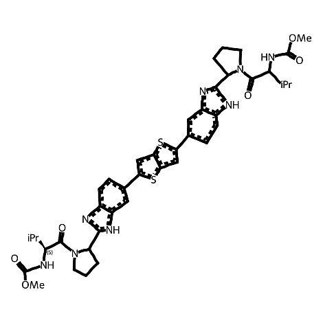 COC(=O)NC(C(=O)N1CCCC1c1nc2cc(-c3cc4sc(-c5ccc6nc(C7CCCN7C(=O)[C@@H](NC(=O)OC)C(C)C)[nH]c6c5)cc4s3)ccc2[nH]1)C(C)C